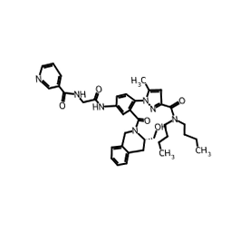 CCCCN(CCCC)C(=O)c1cc(C)n(-c2ccc(NC(=O)CNC(=O)c3cccnc3)cc2C(=O)N2Cc3ccccc3C[C@H]2CO)n1